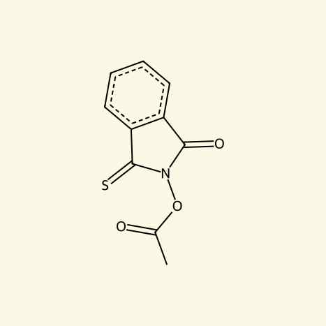 CC(=O)ON1C(=O)c2ccccc2C1=S